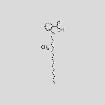 C.CCCCCCCCCCCCCCOc1ccccc1C(=O)O